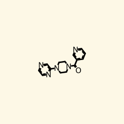 O=C(c1cccnc1)N1CCN(c2cnccn2)CC1